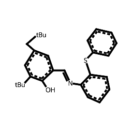 CC(C)(C)Cc1cc(/C=N/c2ccccc2Sc2ccccc2)c(O)c(C(C)(C)C)c1